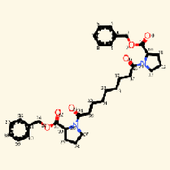 O=C(OCc1ccccc1)C1CCCN1C(=O)CCCCCCCC(=O)N1CCCC1C(=O)OCc1ccccc1